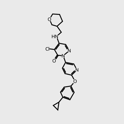 O=c1c(Cl)c(NCC2CCCOC2)cnn1-c1ccc(Oc2ccc(C3CC3)cc2)nc1